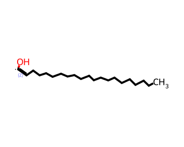 CCCCCCCCCCCCCCCCCCC/C=[C]\O